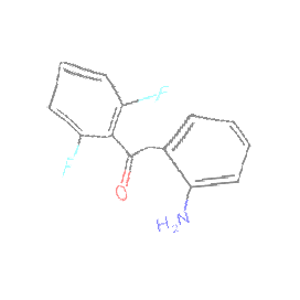 Nc1ccccc1C(=O)c1c(F)cccc1F